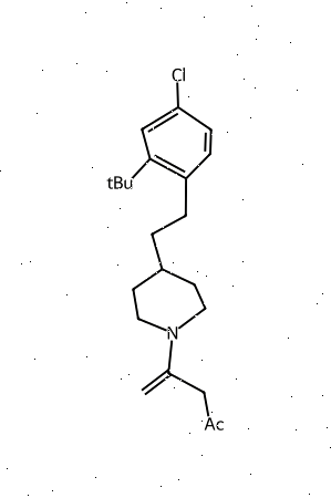 C=C(CC(C)=O)N1CCC(CCc2ccc(Cl)cc2C(C)(C)C)CC1